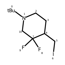 CC(C)(C)N1CCC(CI)C(F)(F)C1